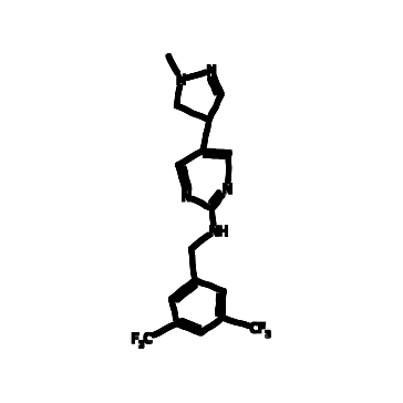 CN1CC(c2cnc(NCc3cc(C(F)(F)F)cc(C(F)(F)F)c3)nc2)C=N1